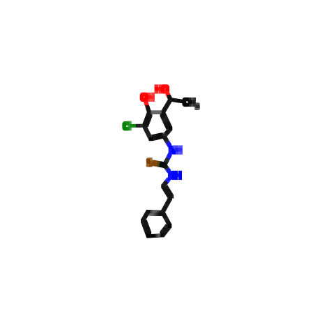 CC(O)c1cc(NC(=S)NC=Cc2ccccc2)cc(Cl)c1O